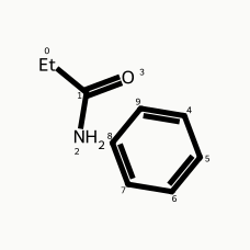 CCC(N)=O.c1ccccc1